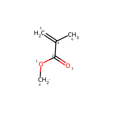 [CH2]OC(=O)C(=C)C